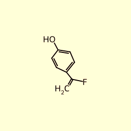 C=C(F)c1ccc(O)cc1